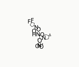 O=C(Nc1cccn(C2CCC(F)(F)C2)c1=O)c1ccc([N+](=O)[O-])cc1N1CCC2(CC1)CC2